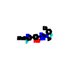 CC[C@@H]1CC[C@H](F)[C@H](N(c2cnc(-c3ccc(-c4cnc(SC)c(F)c4)cc3O)nn2)C2CC2)C1